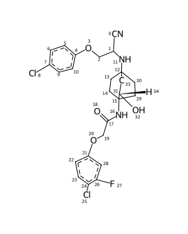 N#CC(COc1ccc(Cl)cc1)NC12CCC(NC(=O)COc3ccc(Cl)c(F)c3)(CC1)[C@@H](O)C2